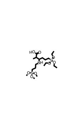 CCO[Si](CCCC(NCCC[Si](OC)(OC)OC)C(C)C(=O)O)(OCC)OCC